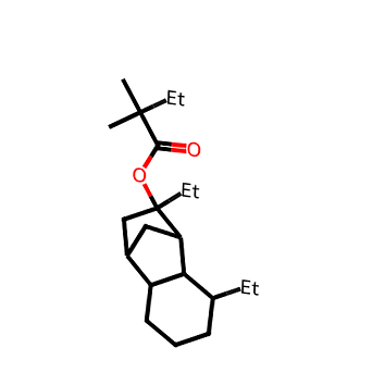 CCC1CCCC2C3CC(C12)C(CC)(OC(=O)C(C)(C)CC)C3